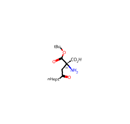 CCCCCCCC(=O)C[C@](N)(C(=O)O)C(=O)OC(C)(C)C